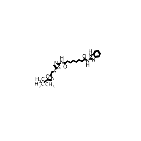 CC(C)(C)c1cnc(CSc2cnc(NC(=O)CCCCCCC(=O)Nc3nc4ccccc4[nH]3)s2)o1